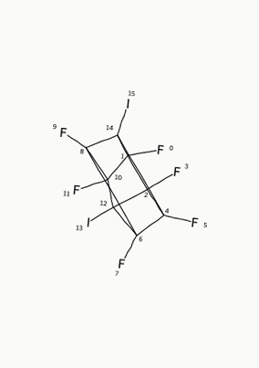 FC12C3(F)C4(F)C5(F)C(F)(C1(F)C35I)C24I